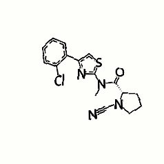 CN(C(=O)[C@@H]1CCCN1C#N)c1nc(-c2ccccc2Cl)cs1